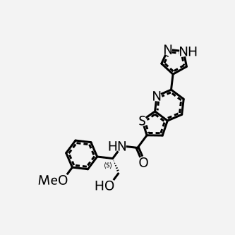 COc1cccc([C@@H](CO)NC(=O)c2cc3ccc(-c4cn[nH]c4)nc3s2)c1